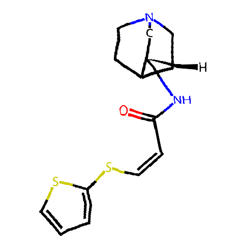 O=C(/C=C\Sc1cccs1)N[C@H]1CN2CCC1CC2